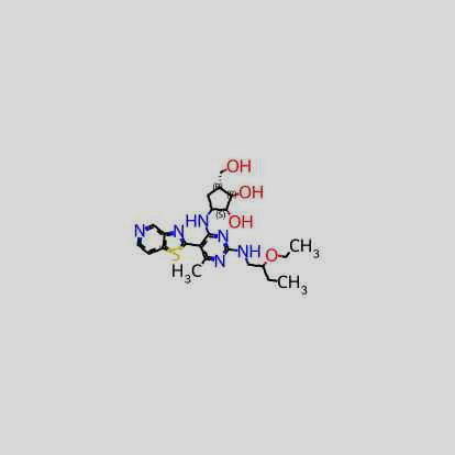 CCOC(CC)CNc1nc(C)c(-c2nc3cnccc3s2)c(NC2C[C@H](CO)[C@@H](O)[C@H]2O)n1